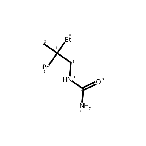 CCC(C)(CNC(N)=O)C(C)C